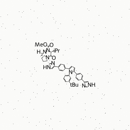 COC(=O)N(N)[C@H](C(=O)N1CCC[C@H]1c1nc(-c2ccc(-c3ccc(-c4ccc(-c5c[nH]cn5)cc4)n3-c3cccc(C(C)(C)C)c3)cc2)c[nH]1)C(C)C